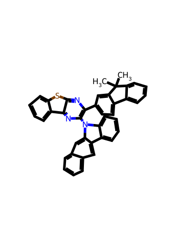 CC1(C)c2ccccc2-c2ccc(-c3nc4sc5ccccc5c4nc3-n3c4ccccc4c4cc5ccccc5cc43)cc21